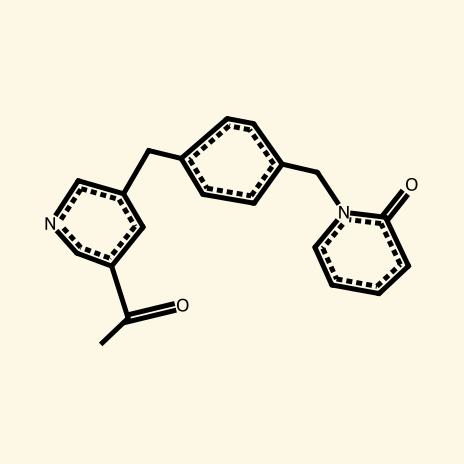 CC(=O)c1cncc(Cc2ccc(Cn3ccccc3=O)cc2)c1